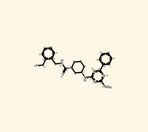 CNc1nc(N[C@@H]2CCC[C@H](C(=O)NCc3ccccc3CF)C2)nc(-c2ccccc2)n1